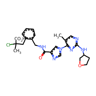 Cc1cnc(NC2CCOC2)nc1-n1cnc(C(=O)NCc2ccccc2CC(C)(Cl)C(=O)O)c1